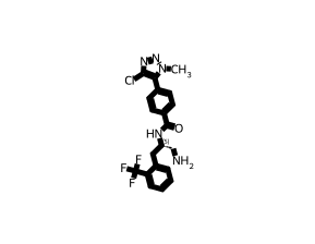 Cn1nnc(Cl)c1-c1ccc(C(=O)N[C@H](CN)Cc2ccccc2C(F)(F)F)cc1